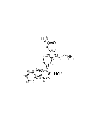 Cl.NCCc1cn(CC(N)=O)c2ccc(-c3cccc4c3oc3ccccc34)cc12